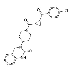 O=C(c1ccc(Cl)cc1)C1CC1C(=O)N1CCC(N2Cc3ccccc3NC2=O)CC1